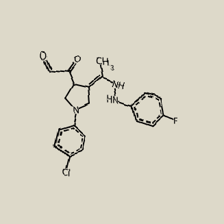 CC(NNc1ccc(F)cc1)=C1CN(c2ccc(Cl)cc2)CC1C(=O)C=O